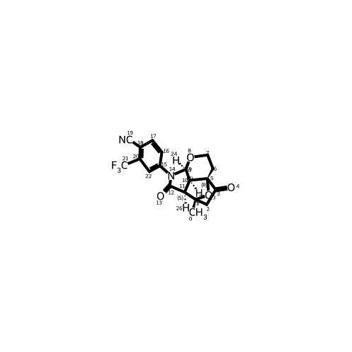 C[C@@]12CC(=O)[C@]3(CCO[C@H]4[C@@H]3[C@@H]1C(=O)N4c1ccc(C#N)c(C(F)(F)F)c1)O2